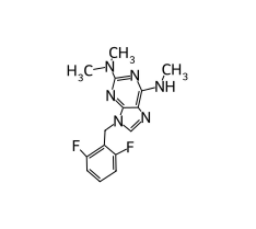 CNc1nc(N(C)C)nc2c1ncn2Cc1c(F)cccc1F